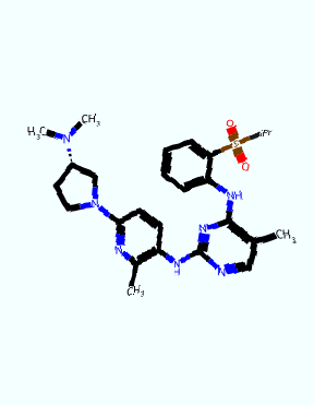 Cc1cnc(Nc2ccc(N3CC[C@H](N(C)C)C3)nc2C)nc1Nc1ccccc1S(=O)(=O)C(C)C